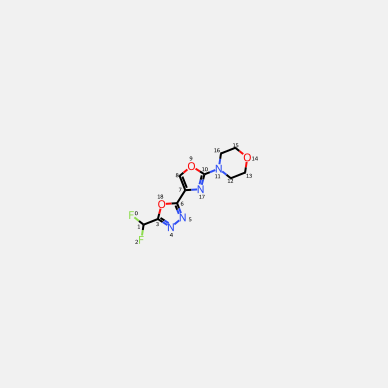 FC(F)c1nnc(-c2coc(N3CCOCC3)n2)o1